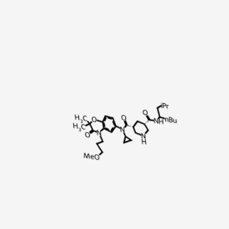 CCCCC(CC(C)C)NC(=O)[C@@H]1CNC[C@H](C(=O)N(c2ccc3c(c2)N(CCCOC)C(=O)C(C)(C)O3)C2CC2)C1